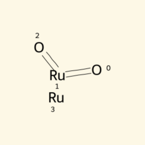 [O]=[Ru]=[O].[Ru]